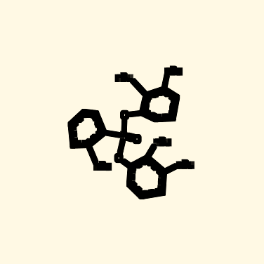 CCCCc1ccccc1P(=O)(Oc1cccc(CCCC)c1CCCC)Oc1cccc(CCCC)c1CCCC